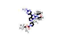 [2H]C1([2H])OC([2H])([2H])C([2H])([2H])N(c2nc(-c3cnc(N)nc3)c3c(n2)N([C@@]2(C)CCN(C(=O)OC(C)(C)C)C2)CC3)C1([2H])[2H]